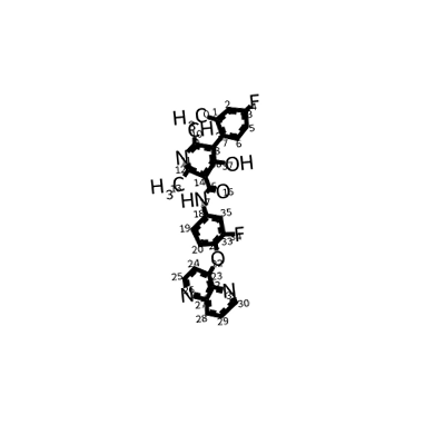 Cc1cc(F)ccc1-c1c(C)nc(C)c(C(=O)Nc2ccc(Oc3ccnc4cccnc34)c(F)c2)c1O